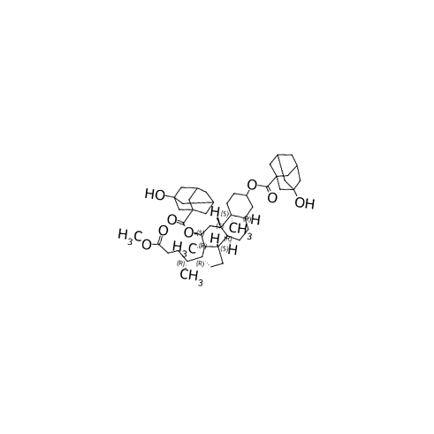 COC(=O)CC[C@@H](C)[C@H]1CC[C@H]2[C@@H]3CC[C@@H]4CC(OC(=O)C56CC7CC(CC(O)(C7)C5)C6)CC[C@]4(C)[C@H]3C[C@H](OC(=O)C34CC5CC(CC(O)(C5)C3)C4)[C@]12C